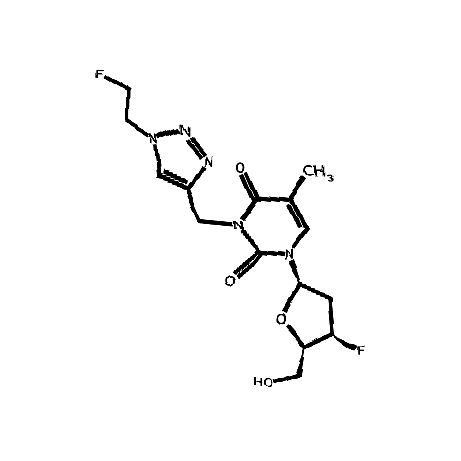 Cc1cn([C@H]2C[C@@H](F)[C@@H](CO)O2)c(=O)n(Cc2cn(CCF)nn2)c1=O